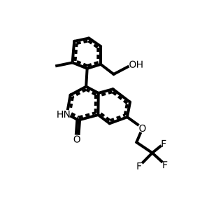 Cc1cccc(CO)c1-c1c[nH]c(=O)c2cc(OCC(F)(F)F)ccc12